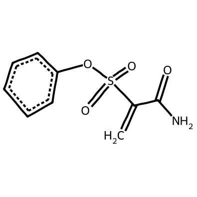 C=C(C(N)=O)S(=O)(=O)Oc1ccccc1